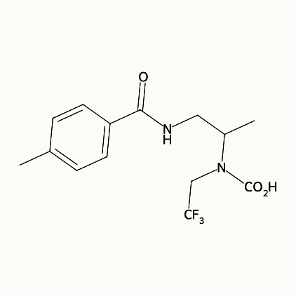 Cc1ccc(C(=O)NCC(C)N(CC(F)(F)F)C(=O)O)cc1